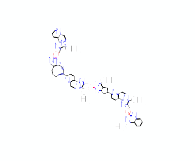 Cc1nc(OCc2nc3c4ccc(C5=C\CCCc6cnc(OCc7nc8c9cccnc9ccn8c7C)nc6/C=C\5)nc4ccn3c2C)nc2c1CC(c1ccc3c(ccn4c(C)c(COc5nc(C)c6ccccc6n5)nc34)n1)C2